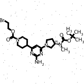 CN(C(=O)OC(C)(C)C)[C@@H]1CCN(c2cc(C3CCN(C(=O)OCCBr)CC3)nc(N)n2)C1